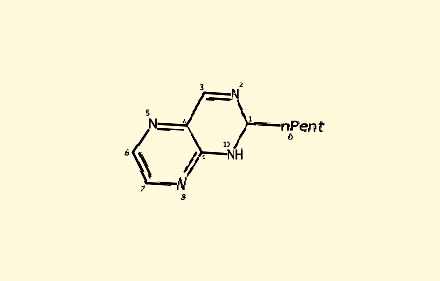 CCCCCC1N=Cc2nccnc2N1